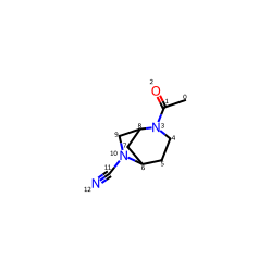 CC(=O)N1CCC2CC1CN2C#N